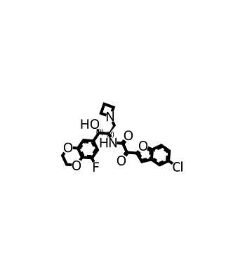 O=C(N[C@H](CN1CCC1)[C@H](O)c1cc(F)c2c(c1)OCCO2)C(=O)c1cc2cc(Cl)ccc2o1